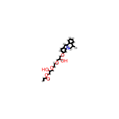 C=CC(=O)OCC(O)COCCOCC(O)COc1ccc2cc3n(c2c1)CC(C)c1ccccc1-3